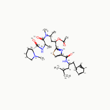 CCC(=O)OC(CC(C(C)C)N(C)C(=O)C(NC(=O)[C@H]1CCCCN1C)C(C)CC)c1nc(C(=O)NC(Cc2ccccc2)CC(C)C(=O)O)cs1